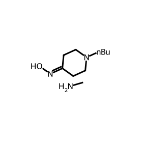 CCCCN1CCC(=NO)CC1.CN